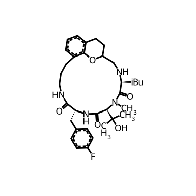 CCC(C)[C@@H]1NCC2CCc3cccc(c3O2)CCCNC(=O)[C@@H](Cc2ccc(F)cc2)NC(=O)[C@H](C(C)(C)O)N(C)C1=O